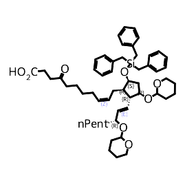 CCCCC[C@H](/C=C/[C@@H]1[C@@H](C/C=C\CCCCC(=O)CCC(=O)O)[C@@H](O[Si](Cc2ccccc2)(Cc2ccccc2)Cc2ccccc2)C[C@H]1OC1CCCCO1)OC1CCCCO1